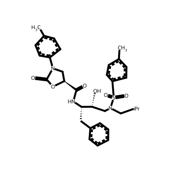 Cc1ccc(N2C[C@@H](C(=O)N[C@@H](Cc3ccccc3)[C@H](O)CN(CC(C)C)S(=O)(=O)c3ccc(C)cc3)OC2=O)cc1